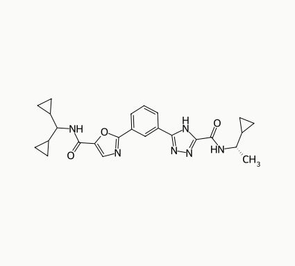 C[C@H](NC(=O)c1nnc(-c2cccc(-c3ncc(C(=O)NC(C4CC4)C4CC4)o3)c2)[nH]1)C1CC1